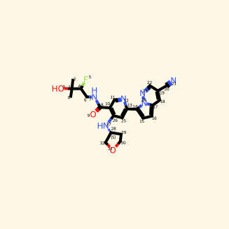 CC(C)(O)C(F)CNC(=O)c1cnc(-c2ccc3cc(C#N)cnn23)cc1N[C@H]1CCOC1